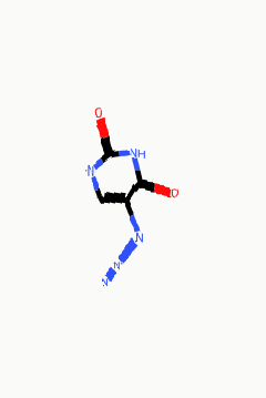 [N-]=[N+]=NC1=C[N]C(=O)NC1=O